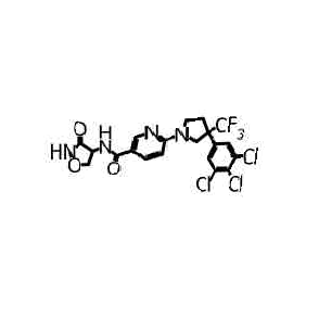 O=C(NC1CONC1=O)c1ccc(N2CCC(c3cc(Cl)c(Cl)c(Cl)c3)(C(F)(F)F)C2)nc1